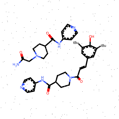 CC(C)(C)c1cc(/C=C/C(=O)N2CCC(C(=O)Nc3ccncc3)CC2)cc(C(C)(C)C)c1O.NC(=O)CN1CCC(C(=O)Nc2ccncc2)CC1